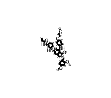 C=CC(=O)Nc1cccc(Nc2cc3c(c(Nc4ccc(OCCOC)cc4)n2)C(=O)N(Cc2ccc(OC)cc2OC)C3)c1